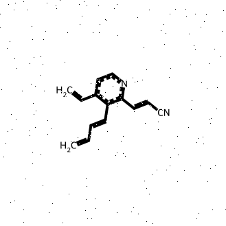 C=CC=Cc1c(C=C)ccnc1C=CC#N